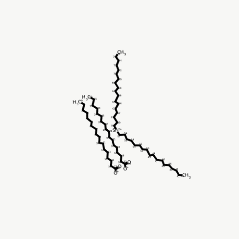 CCCCCCCCCCCCCCCCCC(=O)[O-].CCCCCCCCCCCCCCCCCC(=O)[O-].CCCCCCCCCCCCCCCCC[CH2][Sn+2][CH2]CCCCCCCCCCCCCCCCC